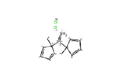 C[C]1([Zr+2](=[SiH2])[C]2(C)C=CC=C2)C=CC=C1.[Cl-].[Cl-]